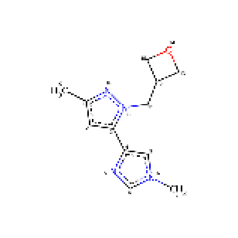 Cc1cc(-c2cn(C)cn2)n(CC2COC2)n1